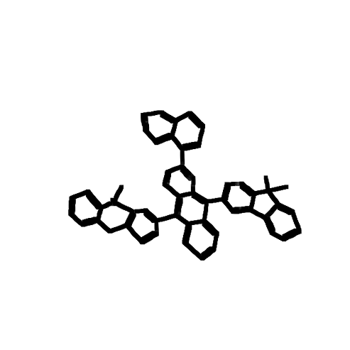 CN1c2ccccc2Cc2ccc(-c3c4ccccc4c(-c4ccc5c(c4)-c4ccccc4C5(C)C)c4cc(-c5cccc6ccccc56)ccc34)cc21